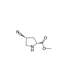 COC(=O)[C@@H]1C[C@H](C#N)CN1